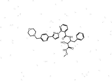 CONC(=O)C(O)C(Cc1ccccc1)NC(=O)c1cccnc1-n1ccc(-c2ccc(CN3CCOCC3)cc2)n1